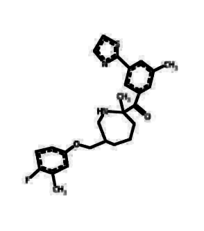 Cc1cc(C(=O)C2(C)CCCC(COc3ccc(F)c(C)c3)CN2)cc(-c2nccs2)c1